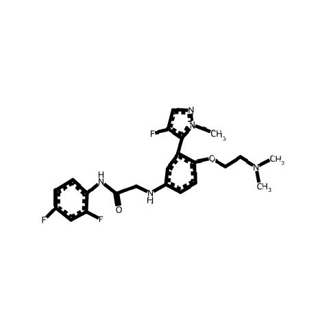 CN(C)CCOc1ccc(NCC(=O)Nc2ccc(F)cc2F)cc1-c1c(F)cnn1C